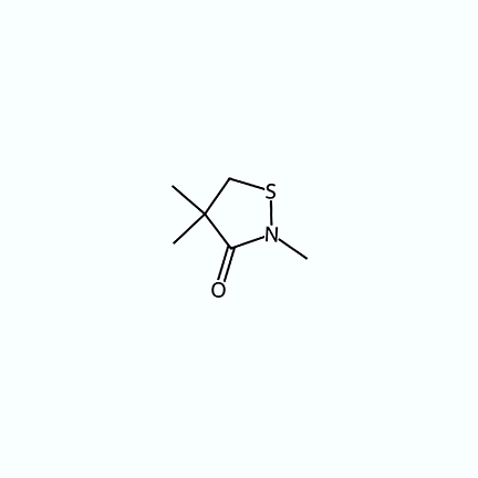 CN1SCC(C)(C)C1=O